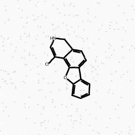 ClC1=CNCc2ccc3c(oc4ccccc43)c21